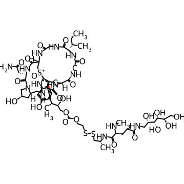 CCC(C)[C@@H]1NC(=O)CNC(=O)[C@H]2Cc3c([nH]c4cc(O)ccc34)[S+]([O-])C[C@@H](NC(=O)CNC1=O)C(=O)N[C@@H](CC(N)=O)C(=O)N1C[C@H](O)C[C@H]1CN[C@@H]([C@H](C)[C@@H](O)COC(=O)OCCSSC[C@@H](C)NC(=O)[C@H](CCC(=O)NC[C@H](O)[C@@H](O)[C@H](O)[C@H](O)CO)NC)C(=O)N2